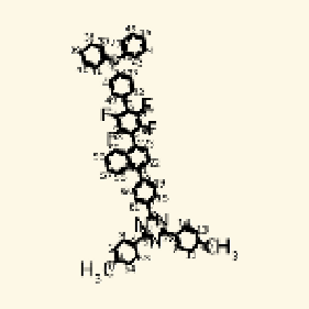 CC1=CC=C(c2nc(C3=CCC(C)C=C3)nc(-c3ccc(-c4ccc(-c5c(F)c(F)c(-c6ccc(P(C7=CCCC=C7)c7ccccc7)cc6)c(F)c5F)c5ccccc45)cc3)n2)CC1